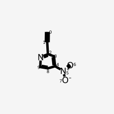 C#Cc1cc([N+](=O)[O-])ccn1